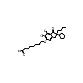 CCCCC1(C2CCCC2)Cc2cc(OCCCCCCCC(=O)O)c(Cl)c(Cl)c2C1=O